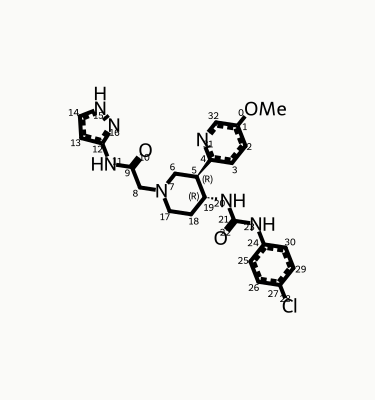 COc1ccc([C@@H]2CN(CC(=O)Nc3cc[nH]n3)CC[C@H]2NC(=O)Nc2ccc(Cl)cc2)nc1